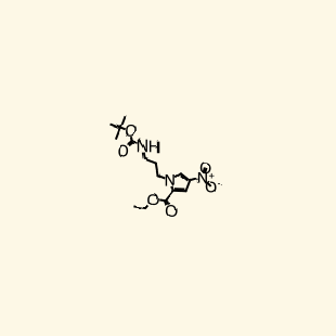 CCOC(=O)c1cc([N+](=O)[O-])cn1CCCNC(=O)OC(C)(C)C